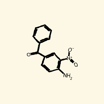 Nc1ccc(C(=O)c2ccccc2)cc1[N+](=O)[O-]